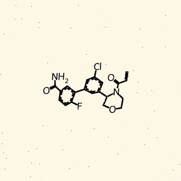 C=CC(=O)N1CCOCC1c1cc(Cl)cc(-c2cc(C(N)=O)ccc2F)c1